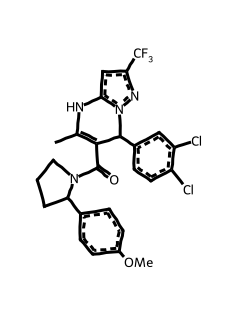 COc1ccc(C2CCCN2C(=O)C2=C(C)Nc3cc(C(F)(F)F)nn3C2c2ccc(Cl)c(Cl)c2)cc1